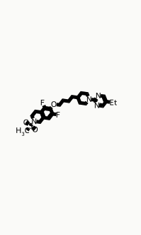 CCc1cnc(N2CCC(CCCCOc3c(F)cc4c(c3F)CCN(S(C)(=O)=O)C4)CC2)nc1